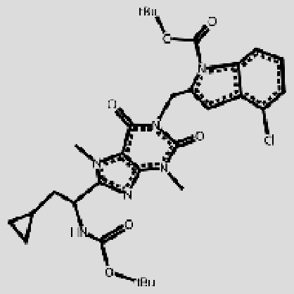 Cn1c(C(CC2CC2)NC(=O)OC(C)(C)C)nc2c1c(=O)n(Cc1cc3c(Cl)cccc3n1C(=O)OC(C)(C)C)c(=O)n2C